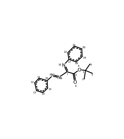 CC(C)(C)OC(=O)C(N=Nc1ccccc1)=Nc1ccccc1